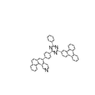 c1ccc(-c2nc(-c3ccc(-c4cc5ccc6ccccc6c5c5cnccc45)cc3)nc(-c3ccc4c5ccccc5c5ccccc5c4c3)n2)cc1